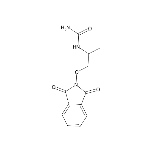 CC(CON1C(=O)c2ccccc2C1=O)NC(N)=O